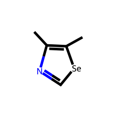 Cc1nc[se]c1C